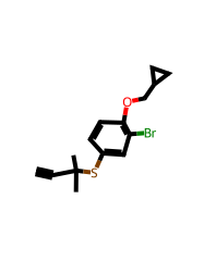 C#CC(C)(C)Sc1ccc(OCC2CC2)c(Br)c1